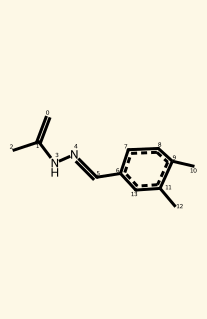 C=C(C)N/N=C/c1ccc(C)c(C)c1